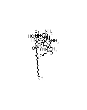 CCCCCCCCCCCCCCCC(=O)NCC(=O)N[C@H](C(=O)N[C@@H](CC(N)=O)C(=O)NC(CC(N)=O)C(=O)N[C@H](C(=O)N[C@@H](CCCC)C(C)=O)C(C)O)C(C)O